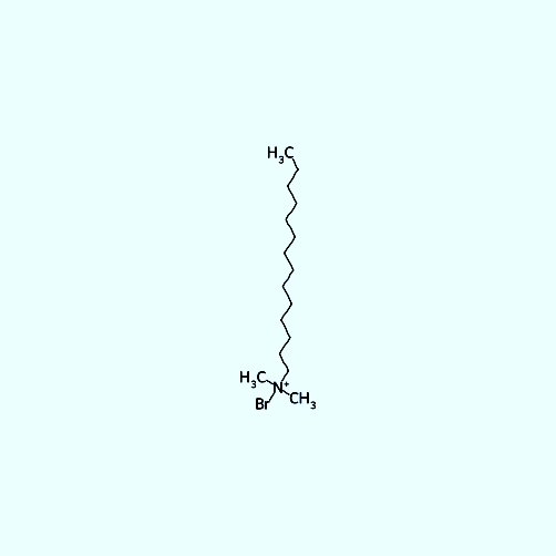 CCCCCCCCCCCCCC[N+](C)(C)Br